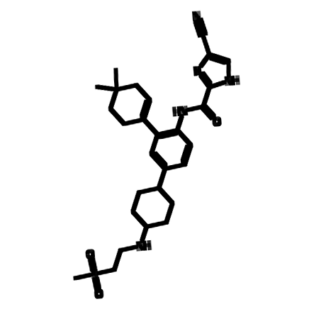 CC1(C)CC=C(c2cc(C3CCC(NCCS(C)(=O)=O)CC3)ccc2NC(=O)c2nc(C#N)c[nH]2)CC1